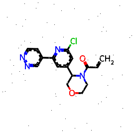 C=CC(=O)N1CCOCC1c1cc(Cl)nc(-c2ccnnc2)c1